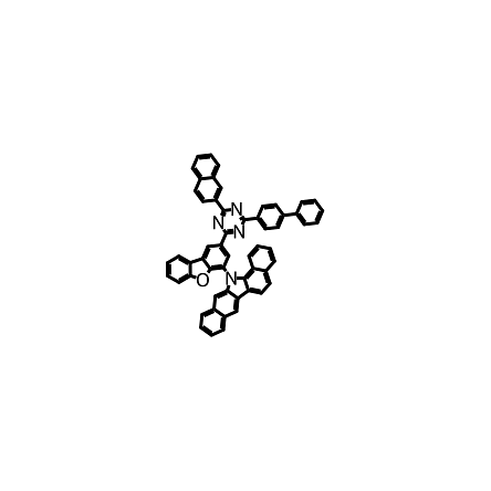 c1ccc(-c2ccc(-c3nc(-c4ccc5ccccc5c4)nc(-c4cc(-n5c6cc7ccccc7cc6c6ccc7ccccc7c65)c5oc6ccccc6c5c4)n3)cc2)cc1